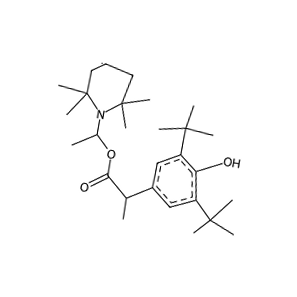 CC(C(=O)OC(C)N1C(C)(C)C[CH]CC1(C)C)c1cc(C(C)(C)C)c(O)c(C(C)(C)C)c1